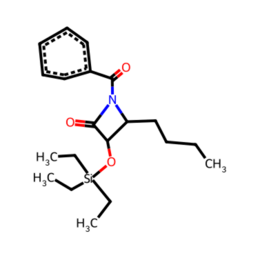 CCCCC1C(O[Si](CC)(CC)CC)C(=O)N1C(=O)c1ccccc1